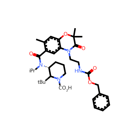 Cc1cc2c(cc1C(=O)N(C(C)C)[C@@H]1CCCN(C(=O)O)C1C(C)(C)C)N(CCNC(=O)OCc1ccccc1)C(=O)C(C)(C)O2